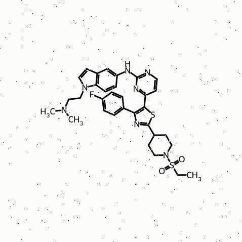 CCS(=O)(=O)N1CCC(c2nc(-c3ccc(F)cc3)c(-c3ccnc(Nc4ccc5c(ccn5CCN(C)C)c4)n3)s2)CC1